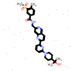 Cc1ccc(C(=O)NCc2cc3nc(-c4cccc(N5CCC(C(C)(C)O)CC5)n4)ccc3cn2)cc1S(C)(=O)=O